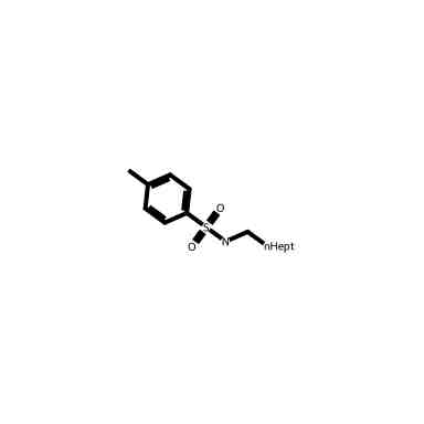 CCCCCCCC[N]S(=O)(=O)c1ccc(C)cc1